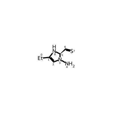 CCC1=CN(N)[C@H](C=S)N1